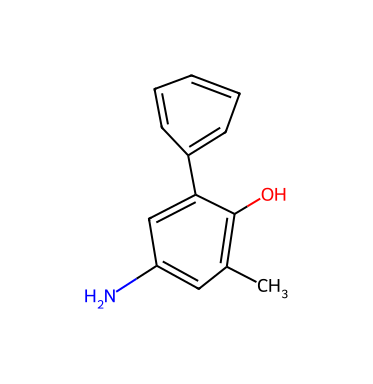 Cc1cc(N)cc(-c2ccccc2)c1O